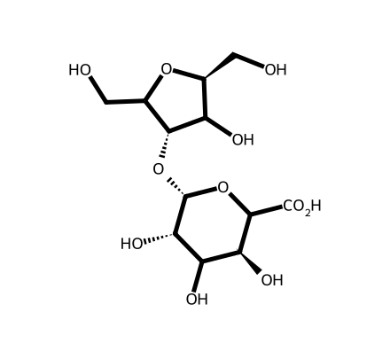 O=C(O)C1O[C@@H](O[C@@H]2C(CO)O[C@@H](CO)C2O)[C@@H](O)C(O)[C@@H]1O